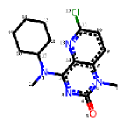 CN(c1nc(=O)n(C)c2ccc(Cl)nc12)C1CCCCC1